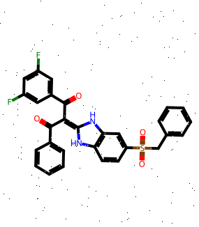 O=C(/C(C(=O)c1cc(F)cc(F)c1)=C1\Nc2ccc(S(=O)(=O)Cc3ccccc3)cc2N1)c1ccccc1